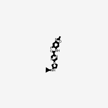 Cc1nc2cc(F)c(NC(=O)c3cnc(N4CCC(NC5CC5)C4)cn3)cc2o1